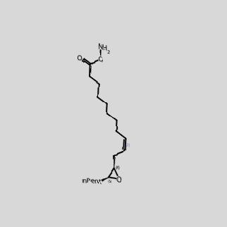 CCCCC[C@@H]1O[C@@H]1C/C=C\CCCCCCCC(=O)ON